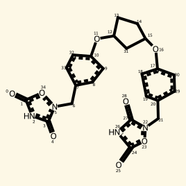 O=c1[nH]c(=O)n(Cc2ccc(OC3CCC(Oc4ccc(Cn5oc(=O)[nH]c5=O)cc4)C3)cc2)o1